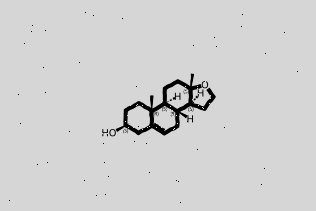 C[C@]12CC[C@H](O)CC1=CC[C@@H]1[C@@H]2CC[C@]2(C)OCC[C@@H]12